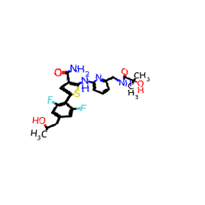 CC(O)Cc1cc(F)c(-c2cc(C(N)=O)c(Nc3cccc(CNC(=O)C(C)(C)O)n3)s2)c(F)c1